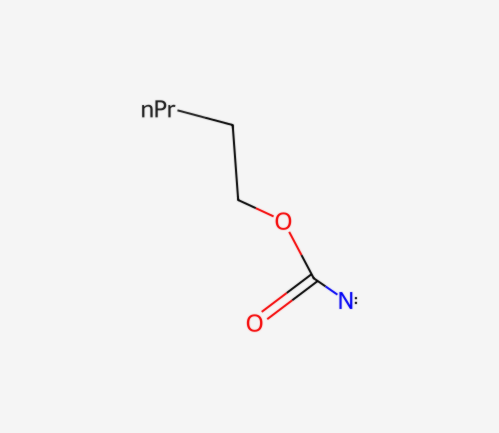 CCCCCOC([N])=O